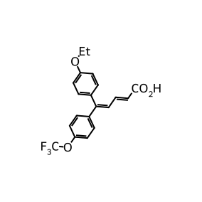 CCOc1ccc(/C(=C\C=C\C(=O)O)c2ccc(OC(F)(F)F)cc2)cc1